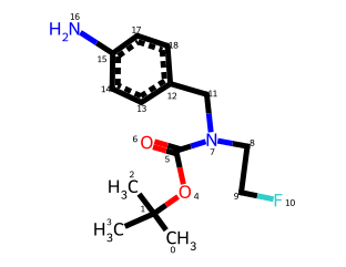 CC(C)(C)OC(=O)N(CCF)Cc1ccc(N)cc1